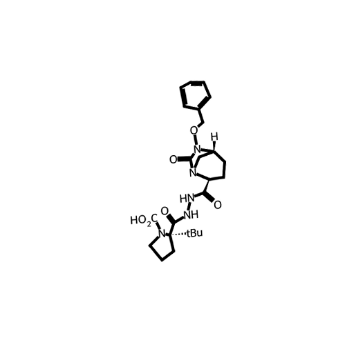 CC(C)(C)[C@]1(C(=O)NNC(=O)[C@@H]2CC[C@@H]3CN2C(=O)N3OCc2ccccc2)CCCN1C(=O)O